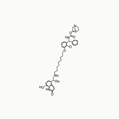 O=C(NC(c1ccccc1)c1cccc(OCCCCCCCCCNCC(O)c2ccc(O)c3[nH]c(=O)ccc23)c1Cl)OC1CN2CCC1CC2